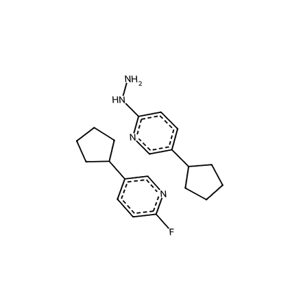 Fc1ccc(C2CCCC2)cn1.NNc1ccc(C2CCCC2)cn1